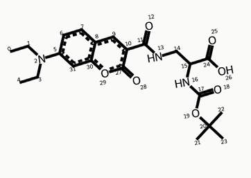 CCN(CC)c1ccc2cc(C(=O)NCC(NC(=O)OC(C)(C)C)C(=O)O)c(=O)oc2c1